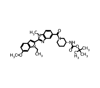 CCn1c(-c2nc3cc(C(=O)N4CCC[C@@H](NC(=O)OC(C)(C)C)C4)ccc3n2C)cc2ccc(OC)cc21